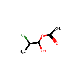 CC(=O)OC(O)C(C)Cl